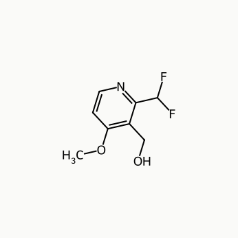 COc1ccnc(C(F)F)c1CO